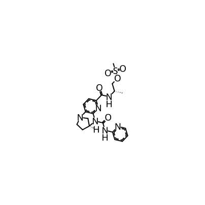 C[C@@H](COS(C)(=O)=O)NC(=O)c1ccc2c(n1)N(C(=O)Nc1ccccn1)[C@H]1CCN2C1